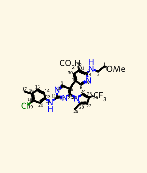 COCCNc1ncc(-c2cnc(Nc3ccc(C)c(Cl)c3)nc2-n2cc(C(F)(F)F)cc2C)cc1C(=O)O